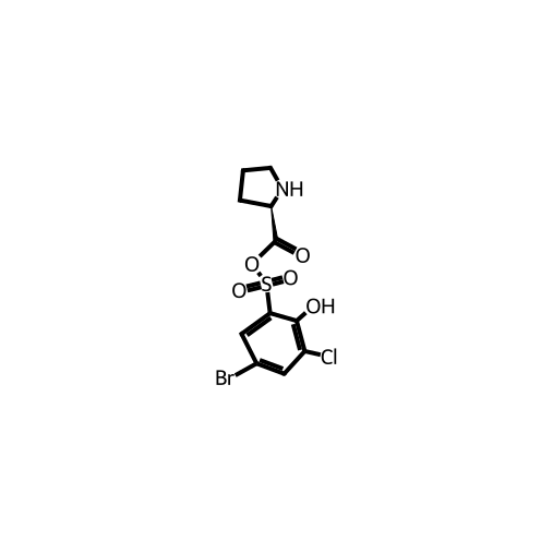 O=C(OS(=O)(=O)c1cc(Br)cc(Cl)c1O)[C@H]1CCCN1